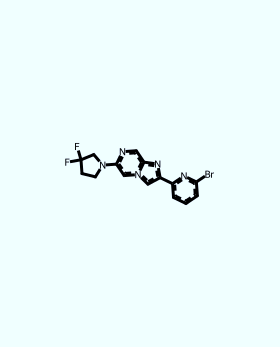 FC1(F)CCN(c2cn3cc(-c4cccc(Br)n4)nc3cn2)C1